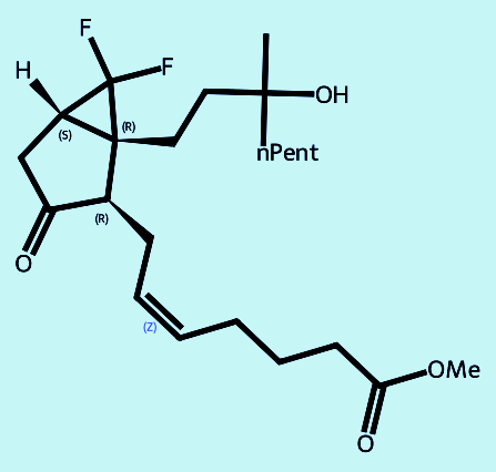 CCCCCC(C)(O)CC[C@]12[C@H](CC(=O)[C@@H]1C/C=C\CCCC(=O)OC)C2(F)F